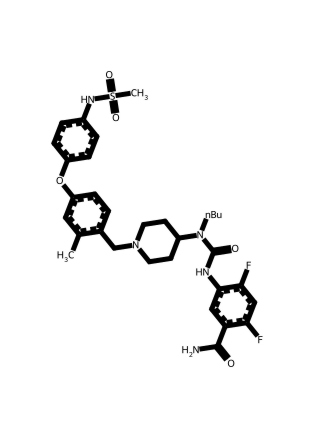 CCCCN(C(=O)Nc1cc(C(N)=O)c(F)cc1F)C1CCN(Cc2ccc(Oc3ccc(NS(C)(=O)=O)cc3)cc2C)CC1